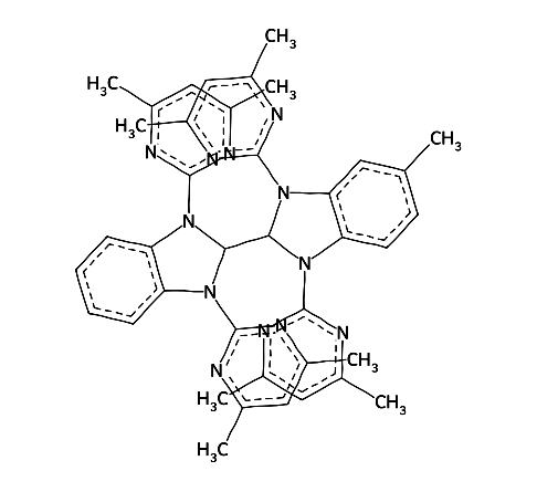 Cc1ccc2c(c1)N(c1nc(C)cc(C)n1)C(C1N(c3nc(C)cc(C)n3)c3ccccc3N1c1nc(C)cc(C)n1)N2c1nc(C)cc(C)n1